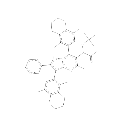 Cc1nc2c(-c3cc(F)c4c(c3C)CCCO4)c(-c3ccccc3)nn2c(-c2cc(F)c3c(c2C)CCCO3)c1C(OC(C)(C)C)C(=O)O